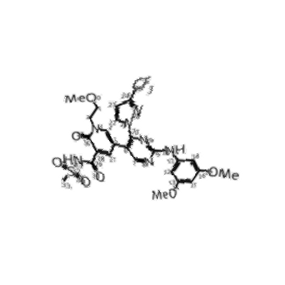 COCCn1cc(-c2cnc(Nc3cc(OC)cc(OC)c3)nc2-n2ccc(C(F)(F)F)n2)cc(C(=O)NS(C)(=O)=O)c1=O